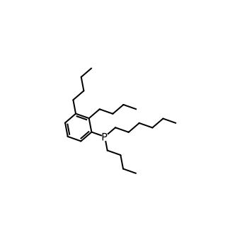 CCCCCCP(CCCC)c1cccc(CCCC)c1CCCC